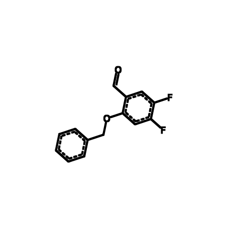 O=Cc1cc(F)c(F)cc1OCc1ccccc1